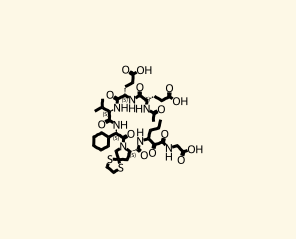 CCCC(NC(=O)[C@@H]1CC2(CN1C(=O)[C@@H](NC(=O)[C@@H](NC(=O)[C@H](CCC(=O)O)NC(=O)[C@H](CCC(=O)O)NC(C)=O)C(C)C)C1CCCCC1)SCCS2)C(=O)C(=O)NCC(=O)O